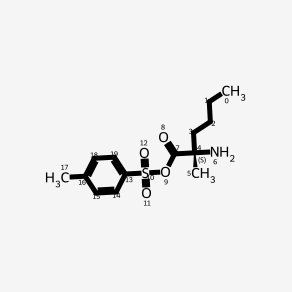 CCCC[C@](C)(N)C(=O)OS(=O)(=O)c1ccc(C)cc1